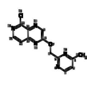 Cc1ccnc(COc2cnc3c(Cl)nccc3n2)n1